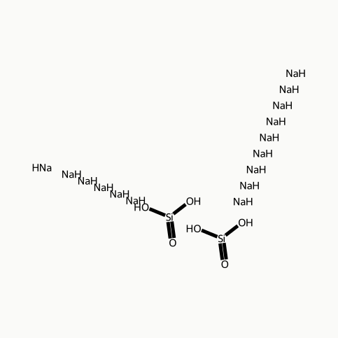 O=[Si](O)O.O=[Si](O)O.[NaH].[NaH].[NaH].[NaH].[NaH].[NaH].[NaH].[NaH].[NaH].[NaH].[NaH].[NaH].[NaH].[NaH].[NaH]